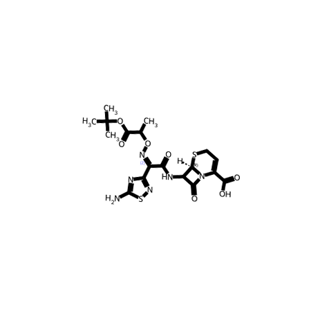 CC(O/N=C(\C(=O)NC1C(=O)N2C(C(=O)O)=CCS[C@H]12)c1nsc(N)n1)C(=O)OC(C)(C)C